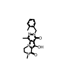 Cc1ccccc1Cn1nc(C)c2c(c(O)c3n2CCN(C)C3=O)c1=O